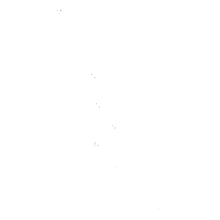 COc1cccc(CCN2CCN(c3nc(COc4ccc(Cl)cc4)ns3)CC2)c1